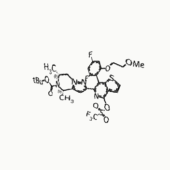 COCCOc1cc(F)cc(F)c1-c1c(-c2cc3n(n2)C[C@@H](C)N(C(=O)OC(C)(C)C)[C@H]3C)nc(OS(=O)(=O)C(F)(F)F)c2ccsc12